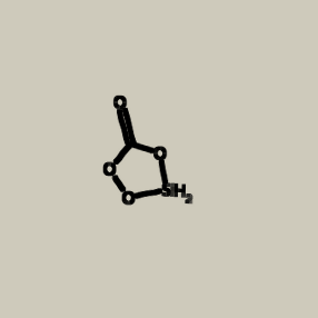 O=C1OO[SiH2]O1